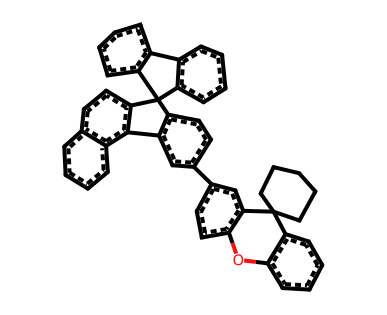 c1ccc2c(c1)Oc1ccc(-c3ccc4c(c3)-c3c(ccc5ccccc35)C43c4ccccc4-c4ccccc43)cc1C21CCCCC1